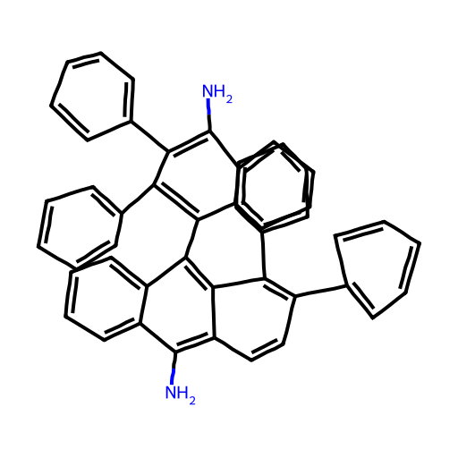 Nc1c(-c2ccccc2)c(-c2ccccc2)c(-c2c3ccccc3c(N)c3ccc(-c4ccccc4)c(-c4ccccc4)c23)c2ccccc12